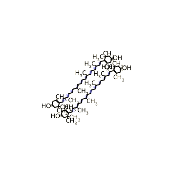 CC1=C(/C=C/C(C)=C/C=C/C(C)=C/C=C/C=C(C)/C=C/C=C(C)/C=C/C2=C(C)C[C@@H](O)CC2(C)C)C(C)(C)C[C@H](O)C1.CC1=C(/C=C/C(C)=C/C=C/C(C)=C/C=C/C=C(C)/C=C/C=C(C)/C=C/C2=C(C)C[C@@H](O)CC2(C)C)C(C)(C)C[C@H](O)C1